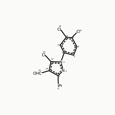 CC(C)c1nn(-c2ccc(Cl)c(Cl)c2)c(Cl)c1C=O